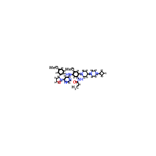 C=CC(=O)Nc1cc(Nc2cc(N3OCC[C@@H]3c3cccc(OC)c3)ncn2)c(OC)cc1N1CCC(N2CCN(C3CCC3)CC2)CC1